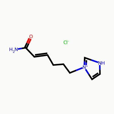 NC(=O)C=CCCC[n+]1cc[nH]c1.[Cl-]